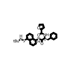 CC(C)(C)NSc1cccc2c(NC(=O)[C@H](Cc3ccccc3)NC(=O)c3ccco3)cccc12